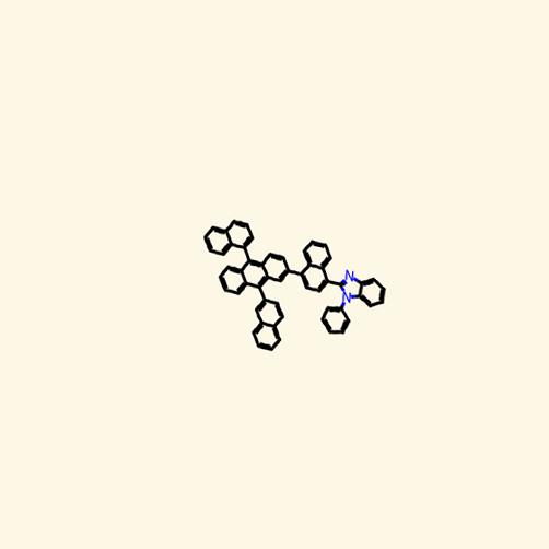 c1ccc(-n2c(-c3ccc(-c4ccc5c(-c6cccc7ccccc67)c6ccccc6c(-c6ccc7ccccc7c6)c5c4)c4ccccc34)nc3ccccc32)cc1